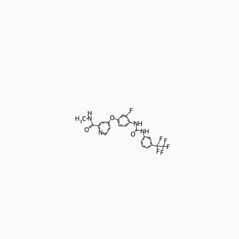 CNC(=O)c1cc(Oc2ccc(NC(=O)Nc3cccc(C(F)(F)C(F)(F)F)c3)c(F)c2)ccn1